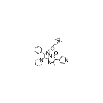 Cc1nc2c(N3CCCCC3)c(-c3ccccc3)n(COCC[Si](C)(C)C)n2c(=O)c1-c1ccncc1